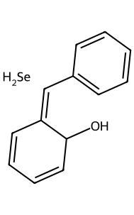 OC1C=CC=CC1=Cc1ccccc1.[SeH2]